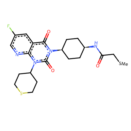 CSCC(=O)N[C@H]1CC[C@@H](n2c(=O)c3cc(F)cnc3n(C3CCSCC3)c2=O)CC1